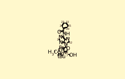 CC(C)(C)[Si](C)(C)O[C@@H]1[C@@H](CO)OC(n2cnc3c(NC(=O)c4ccccc4)ncnc32)[C@@H]1F